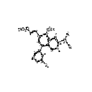 CCOC(=O)/C=C/c1cc(-c2cncc(Cl)c2)c2cnc(N(CC)CC)nc2c1OC